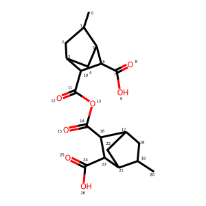 CC1CC2CC1C(C(=O)O)C2C(=O)OC(=O)C1C2CC(C)C(C2)C1C(=O)O